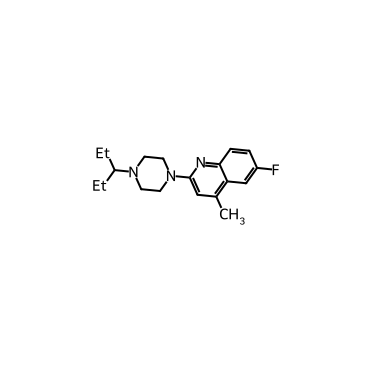 CCC(CC)N1CCN(c2cc(C)c3cc(F)ccc3n2)CC1